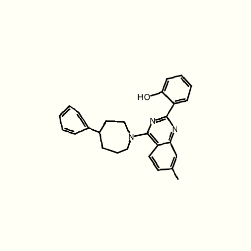 Cc1ccc2c(N3CCCC(c4ccccc4)CC3)nc(-c3ccccc3O)nc2c1